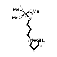 CO[Si](OC)(OC)SCCCN1CCC[SiH2]1